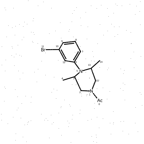 CC(=O)N1CC(C)N(c2cccc(Br)c2)C(C)C1